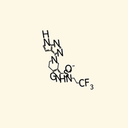 [O-][S+](NCCC(F)(F)F)c1noc2c1CN(c1ncnc3[nH]ccc13)CC2